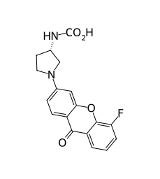 O=C(O)N[C@H]1CCN(c2ccc3c(=O)c4cccc(F)c4oc3c2)C1